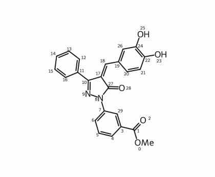 COC(=O)c1cccc(N2N=C(c3ccccc3)C(=Cc3ccc(O)c(O)c3)C2=O)c1